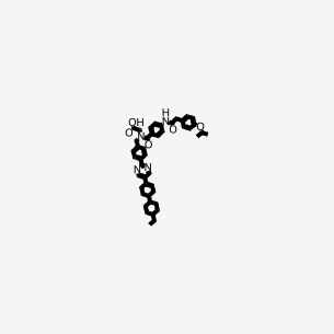 CCC1CCC(C2CC=C(c3cnc(-c4ccc(CN(CC(=O)O)C(=O)c5ccc(NC(=O)Cc6ccc(OC(C)C)cc6)cc5)cc4)nc3)CC2)CC1